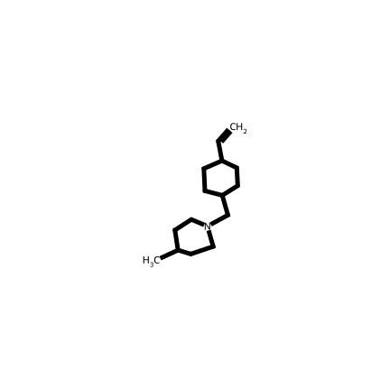 C=CC1CCC(CN2CCC(C)CC2)CC1